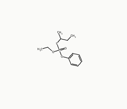 CCOP(=O)(Oc1ccccc1)SC(C)CC